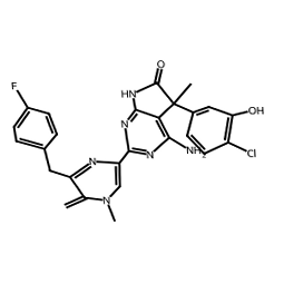 C=C1C(Cc2ccc(F)cc2)=NC(c2nc(N)c3c(n2)NC(=O)C3(C)c2ccc(Cl)c(O)c2)=CN1C